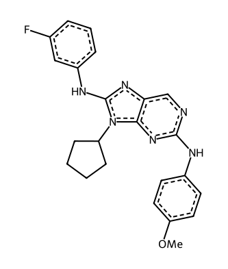 COc1ccc(Nc2ncc3nc(Nc4cccc(F)c4)n(C4CCCC4)c3n2)cc1